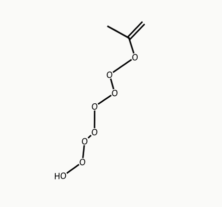 C=C(C)OOOOOOOO